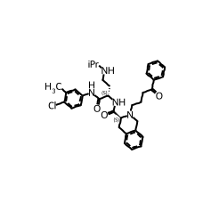 Cc1cc(NC(=O)[C@H](CCNC(C)C)NC(=O)[C@@H]2Cc3ccccc3CN2CCCC(=O)c2ccccc2)ccc1Cl